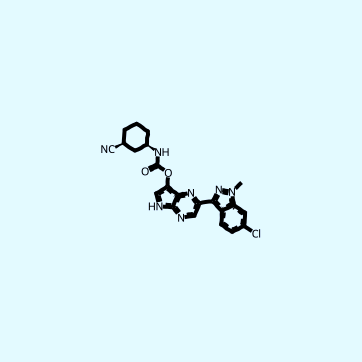 Cn1nc(-c2cnc3[nH]cc(OC(=O)N[C@@H]4CCC[C@H](C#N)C4)c3n2)c2ccc(Cl)cc21